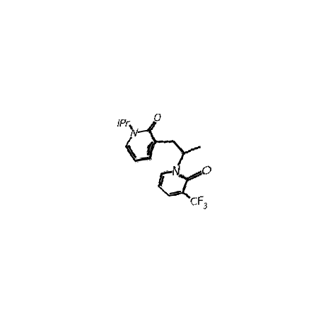 CC(C)n1cccc(CC(C)n2cccc(C(F)(F)F)c2=O)c1=O